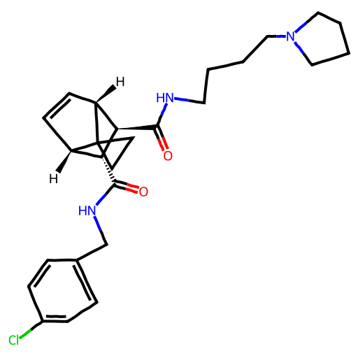 O=C(NCCCCN1CCCC1)[C@H]1[C@H](C(=O)NCc2ccc(Cl)cc2)[C@@H]2C=C[C@H]1C21CC1